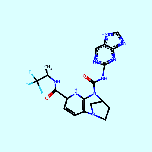 C[C@@H](NC(=O)C1C=CC2=C(N1)N(C(=O)Nc1ncc3[nH]cnc3n1)C1CCN2C1)C(F)(F)F